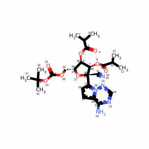 CC(C)C(=O)O[C@H]1[C@@H](OC(=O)C(C)C)[C@](C#N)(c2ccc3c(N)ncnn23)O[C@@H]1COC(=O)OC(C)(C)C